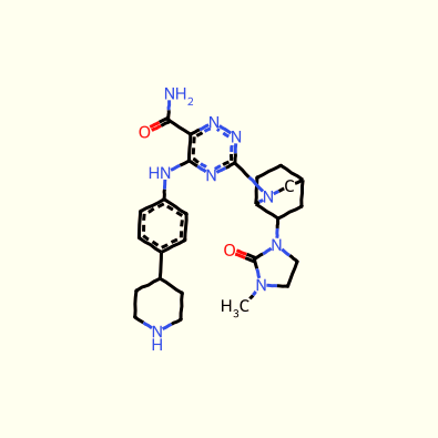 CN1CCN(C2CC3CCC2N(c2nnc(C(N)=O)c(Nc4ccc(C5CCNCC5)cc4)n2)C3)C1=O